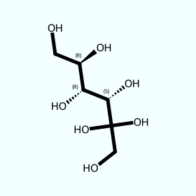 OC[C@@H](O)[C@@H](O)[C@H](O)C(O)(O)CO